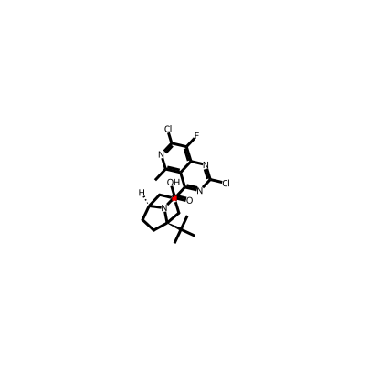 Cc1nc(Cl)c(F)c2nc(Cl)nc(N3C[C@@H]4CC[C@@](C(C)(C)C)(C3)N4C(=O)O)c12